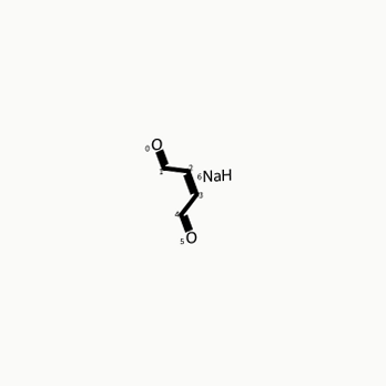 O=C/C=C\C=O.[NaH]